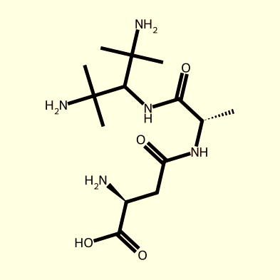 C[C@H](NC(=O)C[C@H](N)C(=O)O)C(=O)NC(C(C)(C)N)C(C)(C)N